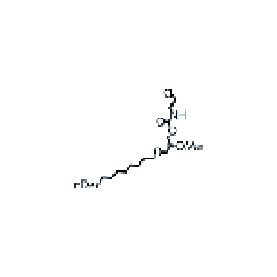 CCCCCCCCCCCCCCCCCCOC[C@H](COC(=O)NCCCl)OC